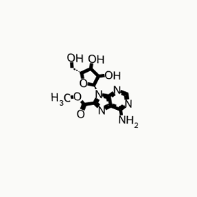 COC(=O)c1nc2c(N)ncnc2n1[C@@H]1O[C@H](CO)C(O)C1O